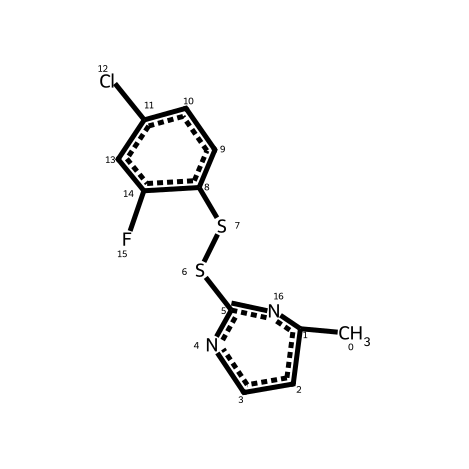 Cc1ccnc(SSc2ccc(Cl)cc2F)n1